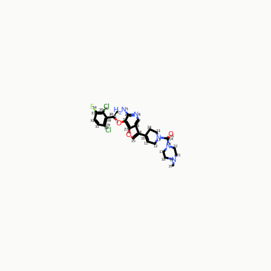 C[C@@H](Oc1c(N)ncc2c(C3=CCN(C(=O)N4CCN(C)CC4)CC3)coc12)c1c(Cl)ccc(F)c1Cl